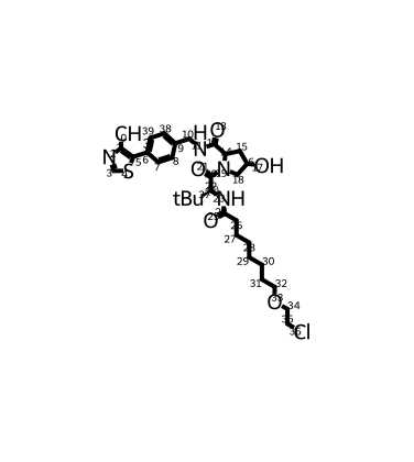 Cc1ncsc1-c1ccc(CNC(=O)C2CC(O)CN2C(=O)[C@@H](NC(=O)CCCCCCCOCCCl)C(C)(C)C)cc1